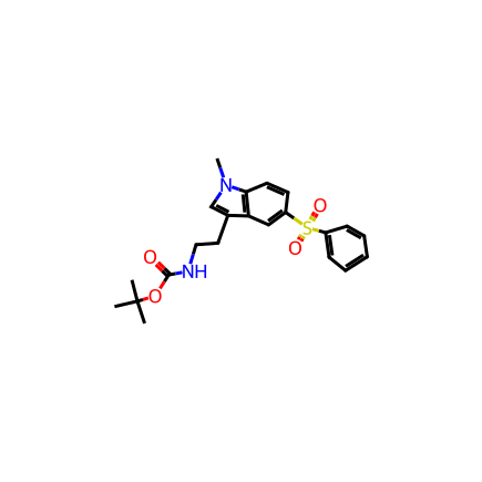 Cn1cc(CCNC(=O)OC(C)(C)C)c2cc(S(=O)(=O)c3ccccc3)ccc21